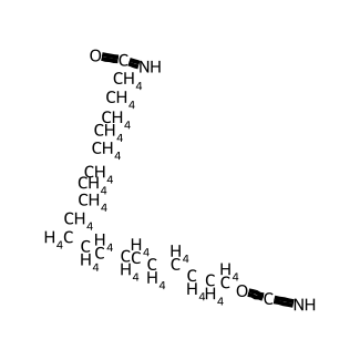 C.C.C.C.C.C.C.C.C.C.C.C.C.C.C.C.C.C.C.N=C=O.N=C=O